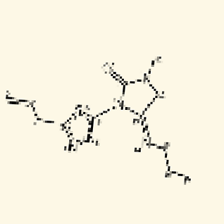 C=CCc1nnc(N2C(=O)N(C)CC2=NCCC)s1